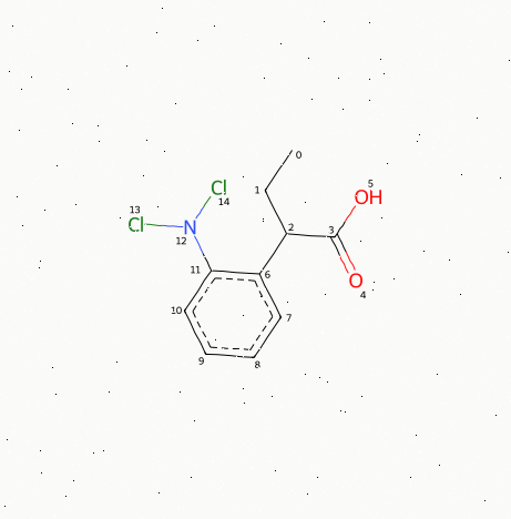 CCC(C(=O)O)c1ccccc1N(Cl)Cl